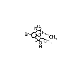 CCCCOC1CON=C1c1cc(Br)ccc1OC(CC)C(=O)O